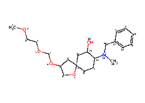 COCCOCOC1COC2(CCC(N(C)Cc3ccccc3)C(O)C2)C1